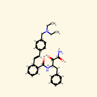 CCN(CC)Cc1ccc(C=Cc2ccccc2C(=O)NC(Cc2ccccc2)C(=O)C(N)=O)cc1